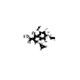 CCNc1c(F)c(SC)c2c(=O)c(C(=O)O)cn(C3CC3)c2c1F